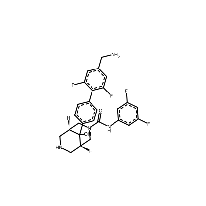 NCc1cc(F)c(-c2ccc(C3(O)[C@@H]4CNC[C@H]3CN(C(=O)Nc3cc(F)cc(F)c3)C4)cc2)c(F)c1